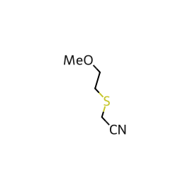 COCCSCC#N